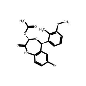 COc1cccc([C@@H]2O[C@@H](OC(C)=O)C(=O)Nc3ccc(Br)cc32)c1C